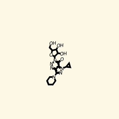 O=c1c2c(nnn1C1OC(CO)C(O)C1O)c(N1CCCCC1)nn2C1CC1